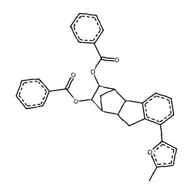 Cc1ccc(-c2cccc3c2CC2C4CC(C(OC(=O)c5ccccc5)C4OC(=O)c4ccccc4)C32)o1